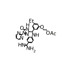 CCc1cc(OCCOC(C)=O)cc(C(Nc2ccc(C(=N)N)cc2)c2nn(-c3ncccn3)c(=O)[nH]2)c1